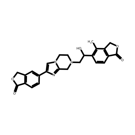 Cc1c(C(O)CN2CCn3cc(-c4ccc5c(c4)COC5=O)nc3C2)ccc2c1COC2=O